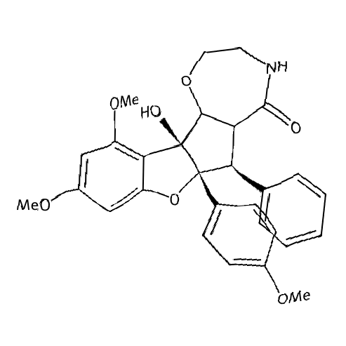 COc1ccc([C@@]23Oc4cc(OC)cc(OC)c4[C@]2(O)C2OCCNC(=O)C2[C@H]3c2ccccc2)cc1